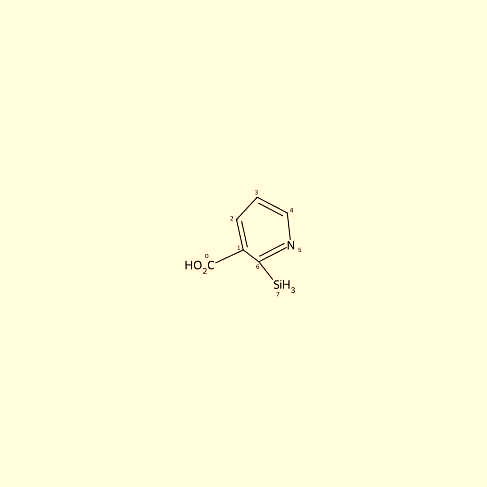 O=C(O)c1cccnc1[SiH3]